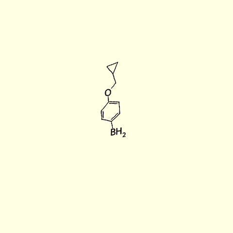 Bc1ccc(OCC2CC2)cc1